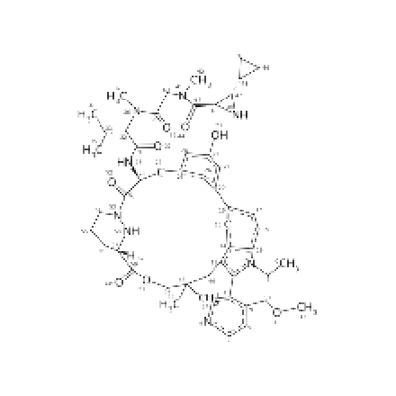 CCn1c(-c2cnccc2COC)c2c3cc(ccc31)-c1cc(O)cc(c1)C[C@H](NC(=O)[C@H](C(C)C)N(C)C(=O)CN(C)C(=O)[C@@H]1N[C@H]1C1CC1)C(=O)N1CCC[C@H](N1)C(=O)OCC(C)(C)C2